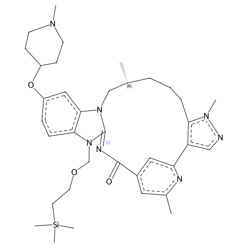 Cc1cc2cc(n1)-c1cnn(C)c1CCC[C@@H](C)CN1/C(=N/C2=O)N(COCC[Si](C)(C)C)c2ccc(OC3CCN(C)CC3)cc21